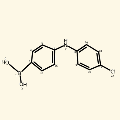 OB(O)c1ccc(Nc2ccc(Cl)cc2)cc1